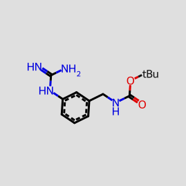 CC(C)(C)OC(=O)NCc1cccc(NC(=N)N)c1